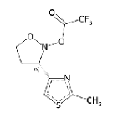 Cc1nc([C@@H]2CCON2OC(=O)C(F)(F)F)cs1